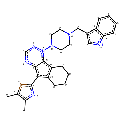 Cc1nc(-c2c3ncnn(N4CCN(Cc5c[nH]c6ccccc56)CC4)c-3c3c2CCCC3)sc1C